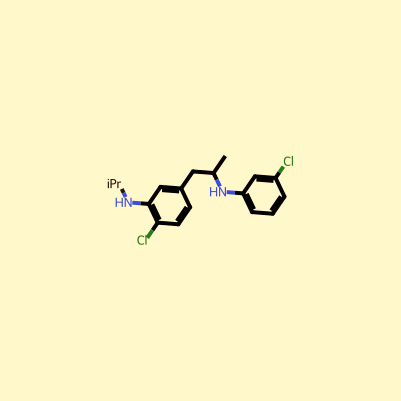 CC(C)Nc1cc(CC(C)Nc2cccc(Cl)c2)ccc1Cl